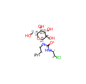 CC(C)CCN(C(=O)NCCCl)[C@@H]1O[C@H](CO)[C@H](O)[C@H](O)[C@H]1O